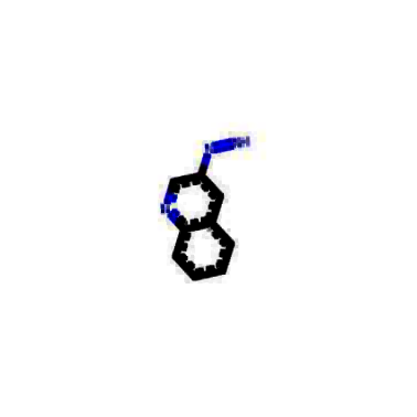 N=Nc1cnc2ccccc2c1